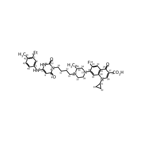 CCc1cc(Nc2cc(=O)n(CCCCN3CCN(c4cc5c(cc4F)c(=O)c(C(=O)O)cn5C4CC4)C[C@@H]3C)c(=O)[nH]2)ccc1C